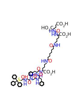 O=C(O)CCC(NC(=O)N[C@@H](CCCCNC(=O)CCCCCCC(=O)NCCCCC(NC(=O)C(Cc1ccccc1)NC(=O)C(Cc1ccccc1)NC(=O)CNC(=O)CNC(O)CSC(c1ccccc1)(c1ccccc1)c1ccccc1)C(=O)O)C(=O)O)C(=O)O